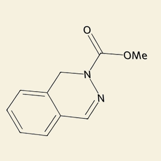 COC(=O)N1Cc2ccccc2C=N1